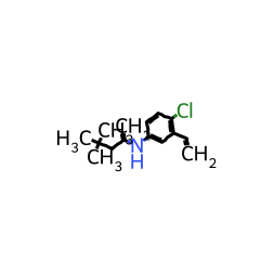 C=Cc1cc(NC(=C)CC(C)(C)C)ccc1Cl